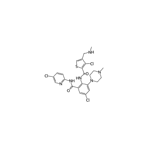 CNCc1csc(C(=O)Nc2c(C(=O)Nc3ccc(Cl)cn3)cc(Cl)cc2N2CCN(C)CC2)c1Cl